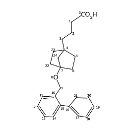 O=C(O)CCCC12CCC(OCc3ccccc3-c3ccccc3)(CC1)C2